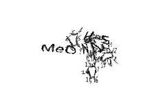 COc1ccccc1CN1CC(C(c2ccccc2)c2ccccc2)N2CCSC[C@H]2C1